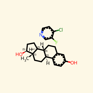 C[C@]12CC[C@@H]3c4ccc(O)cc4CC[C@H]3[C@@H]1CC[C@@H]2O.Fc1cnccc1Cl